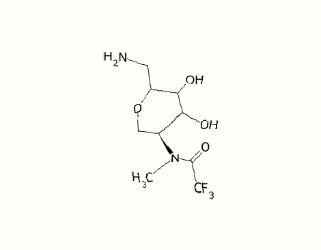 CN(C(=O)C(F)(F)F)[C@H]1COC(CN)C(O)C1O